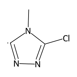 Cn1[c]nnc1Cl